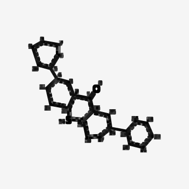 O=c1c2cc(-c3ccccc3)ccc2sc2ccc(-c3ccccc3)cc12